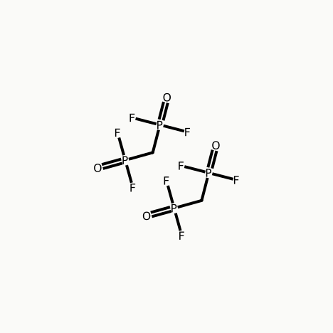 O=P(F)(F)CP(=O)(F)F.O=P(F)(F)CP(=O)(F)F